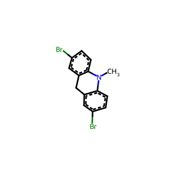 CN1c2ccc(Br)cc2Cc2cc(Br)ccc21